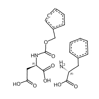 N[C@H](Cc1ccccc1)C(=O)O.O=C(O)C[C@@H](NC(=O)OCc1ccccc1)C(=O)O